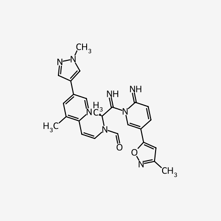 Cc1cc(-c2ccc(=N)n(C(=N)[C@H](C)N(C=O)/C=C\c3ncc(-c4cnn(C)c4)cc3C)c2)on1